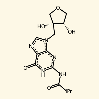 CC(C)C(=O)Nc1nc2c(ncn2C[C@@]2(O)COC[C@@H]2O)c(=O)[nH]1